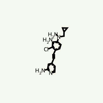 Nc1cc(C#Cc2ccc(N(N)CC3CC3)c(N)c2Cl)ccn1